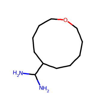 NC(N)C1CCCCCOCCCC1